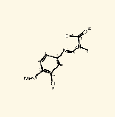 CSc1ccc(N=CN(C)C(=O)Cl)cc1Cl